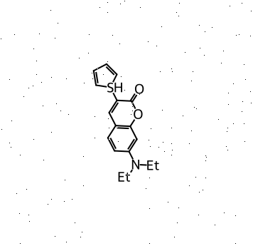 CCN(CC)c1ccc2cc([SH]3C=CC=C3)c(=O)oc2c1